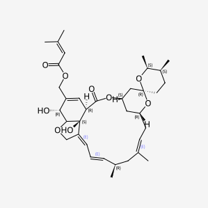 CC(C)=CC(=O)OCC1=C[C@H]2C(=O)O[C@H]3C[C@@H](C/C=C(\C)C[C@@H](C)/C=C/C=C4\COC([C@@H]1O)[C@@]42O)O[C@@]1(CC[C@H](C)[C@H](C)O1)C3